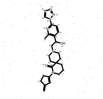 C=C1C=C(N2CCCC3(CCN(CC(O)c4ccc(-n5cnnn5)nc4C)CC3)C2=O)CC1